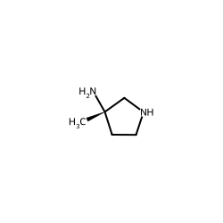 C[C@]1(N)CCNC1